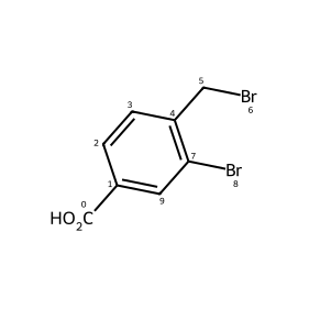 O=C(O)c1ccc(CBr)c(Br)c1